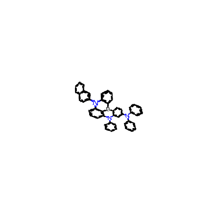 c1ccc(N(c2ccccc2)c2ccc3c(c2)N(c2ccccc2)c2cccc4c2B3c2ccccc2N4c2ccc3ccccc3c2)cc1